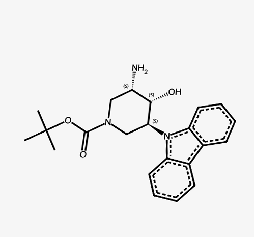 CC(C)(C)OC(=O)N1C[C@H](N)[C@H](O)[C@@H](n2c3ccccc3c3ccccc32)C1